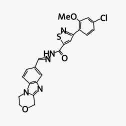 COc1cc(Cl)ccc1-c1cc(C(=O)NN=Cc2ccc3c(c2)nc2n3CCOC2)sn1